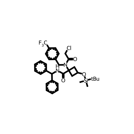 CC(C)(C)[Si](C)(C)OC1CC(C(=O)NC(c2ccccc2)c2ccccc2)(N(Cc2ccc(C(F)(F)F)cc2)C(=O)CCl)C1